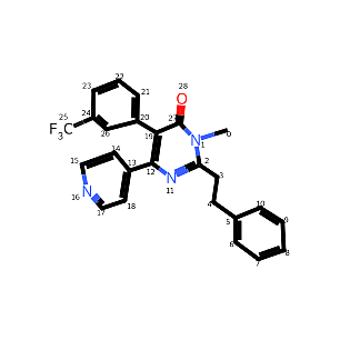 Cn1c(CCc2ccccc2)nc(-c2ccncc2)c(-c2cccc(C(F)(F)F)c2)c1=O